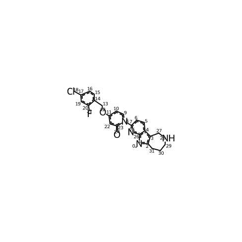 Cn1c2c(c3ccc(-n4ccc(OCc5ccc(Cl)cc5F)cc4=O)nc31)CNCCC2